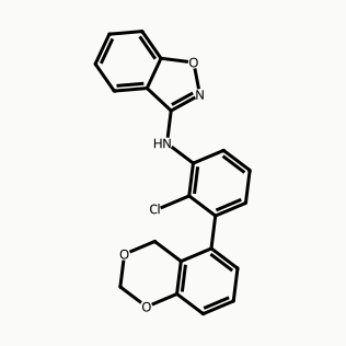 Clc1c(Nc2noc3ccccc23)cccc1-c1cccc2c1COCO2